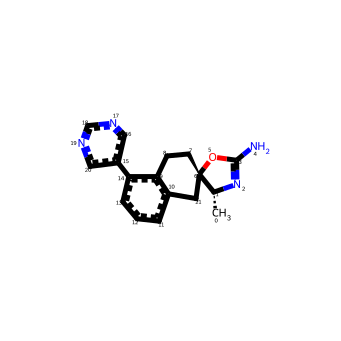 C[C@H]1N=C(N)O[C@]12CCc1c(cccc1-c1cncnc1)C2